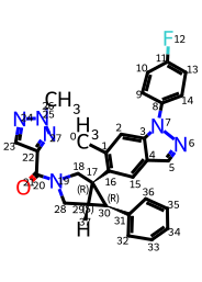 Cc1cc2c(cnn2-c2ccc(F)cc2)cc1[C@]12CN(C(=O)c3cnn(C)n3)C[C@H]1[C@@H]2c1ccccc1